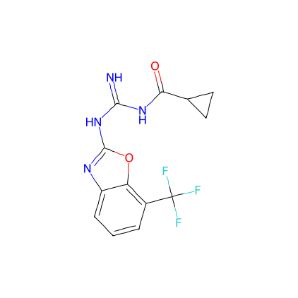 N=C(NC(=O)C1CC1)Nc1nc2cccc(C(F)(F)F)c2o1